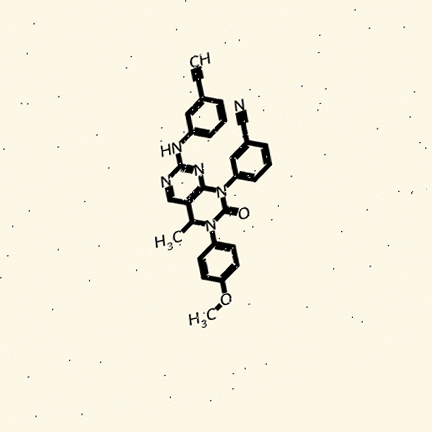 C#Cc1cccc(Nc2ncc3c(n2)N(c2cccc(C#N)c2)C(=O)N(c2ccc(OC)cc2)C3C)c1